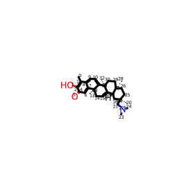 CC1=C(O)C(=O)C=C2C1=CC=C1[C@@]2(C)CC=C2[C@@H]3C[C@](C)(CN(C)C)CC[C@]3(C)CC[C@@]21C